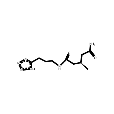 C[C@@H]([CH]C(=O)NCCCc1nnn[nH]1)CC(N)=O